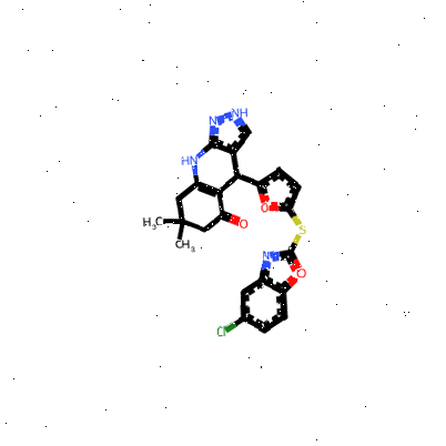 CC1(C)CC(=O)C2=C(C1)Nc1n[nH]cc1C2c1ccc(Sc2nc3cc(Cl)ccc3o2)o1